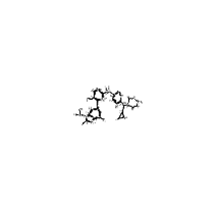 Cc1nc2c(F)cc(-c3nc(Nc4ccc([C@H](C5CC5)N5CCNCC5)cn4)ncc3F)cc2n1C(C)C